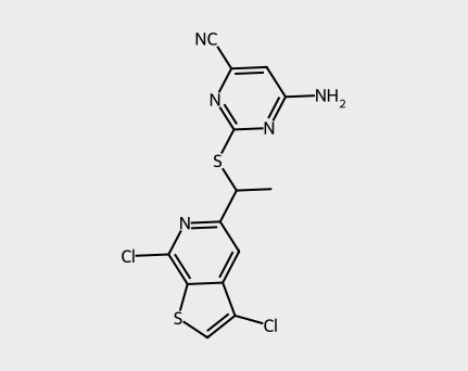 CC(Sc1nc(N)cc(C#N)n1)c1cc2c(Cl)csc2c(Cl)n1